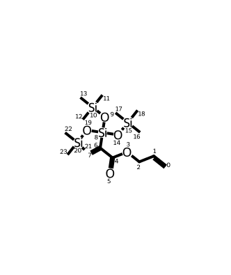 C=CCOC(=O)C(=C)[Si](O[Si](C)(C)C)(O[Si](C)(C)C)O[Si](C)(C)C